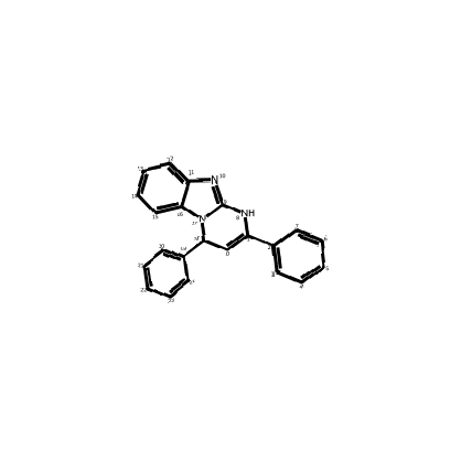 C1=C(c2ccccc2)Nc2nc3ccccc3n2C1c1ccccc1